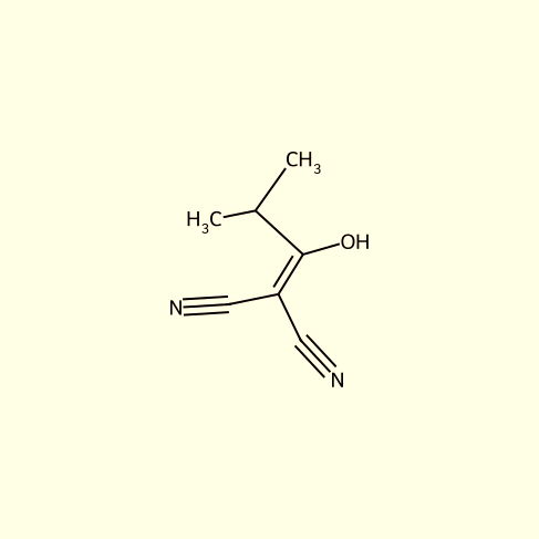 CC(C)C(O)=C(C#N)C#N